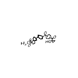 CS(=O)(=O)N1CCc2cc(-c3ccc(C(=O)N4CCN(C(=O)C5(O)CC5)CC4)cc3)ccc21